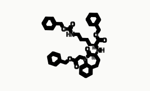 O=C(CN1C(=O)[C@@H](N[C@@H](CCCCNC(=O)OCc2ccccc2)C(=O)OCc2ccccc2)CCc2ccccc21)OCc1ccccc1